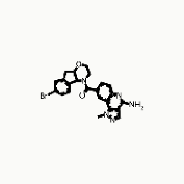 Cn1ncc2c(N)nc3ccc(C(=O)N4CCOC5Cc6cc(Br)ccc6C54)cc3c21